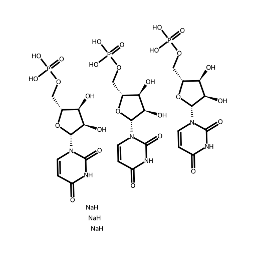 O=c1ccn([C@@H]2O[C@H](COP(=O)(O)O)[C@@H](O)[C@H]2O)c(=O)[nH]1.O=c1ccn([C@@H]2O[C@H](COP(=O)(O)O)[C@@H](O)[C@H]2O)c(=O)[nH]1.O=c1ccn([C@@H]2O[C@H](COP(=O)(O)O)[C@@H](O)[C@H]2O)c(=O)[nH]1.[NaH].[NaH].[NaH]